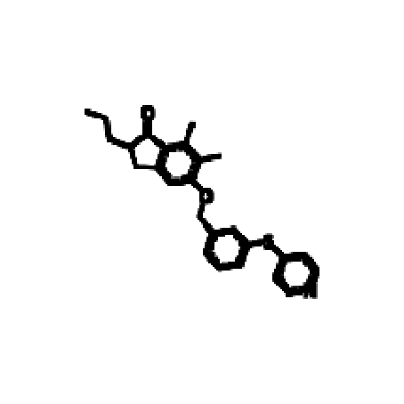 CCCC1Cc2cc(OCc3cccc(Sc4ccncc4)c3)c(C)c(C)c2C1=O